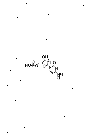 CC1(F)C(O)C(COP(C)(=O)O)OC1n1ccc(NCl)nc1=O